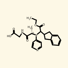 CCOC(=O)C(C1Cc2ccccc2C1)N(c1ccncc1)[C@@H](C)C(=O)NCC(=O)O